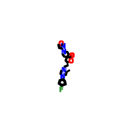 C[C@H]1CN(c2ccc(F)cc2)CCN1CC[C@H]1CC2(CCN(c3ccon3)CC2)C(=O)O1